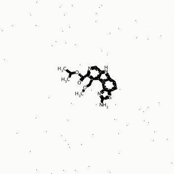 COCc1c(C(=O)OC(C)C)ncc2[nH]c3ccc4sc(N)nc4c3c12